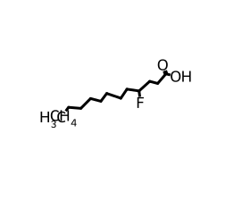 C.CCCCCCCCC(F)CCC(=O)O